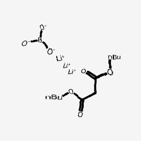 CCCCOC(=O)CC(=O)OCCCC.[Li+].[Li+].[Li+].[O-]B([O-])[O-]